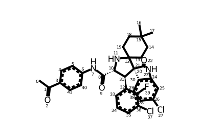 CC(=O)c1ccc(NC(=O)[C@@H]2NC3(CCC(C)(C)CC3)[C@@]3(C(=O)Nc4cc(Cl)ccc43)[C@H]2c2cccc(Cl)c2F)cc1